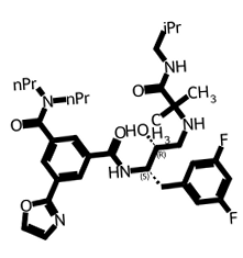 CCCN(CCC)C(=O)c1cc(C(=O)N[C@@H](Cc2cc(F)cc(F)c2)[C@H](O)CNC(C)(C)C(=O)NCC(C)C)cc(-c2ncco2)c1